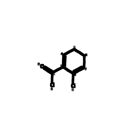 O=C(Cl)C1=CCCC=C1Cl